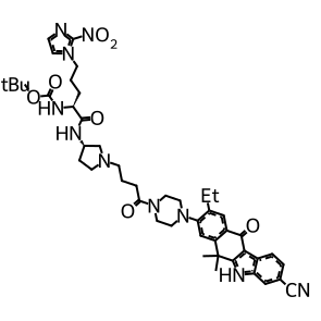 CCc1cc2c(cc1N1CCN(C(=O)CCCN3CC[C@@H](NC(=O)[C@H](CCCn4ccnc4[N+](=O)[O-])NC(=O)OC(C)(C)C)C3)CC1)C(C)(C)c1[nH]c3cc(C#N)ccc3c1C2=O